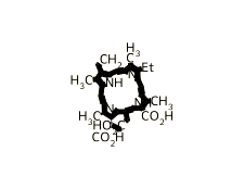 C=Cc1c(C)c2cc3nc(c(CC(=O)O)c4[nH]c(cc5nc(cc1[nH]2)C(C)=C5CC)c(C)c4C(=O)O)[C@H](CCC(=O)O)[C@H]3C